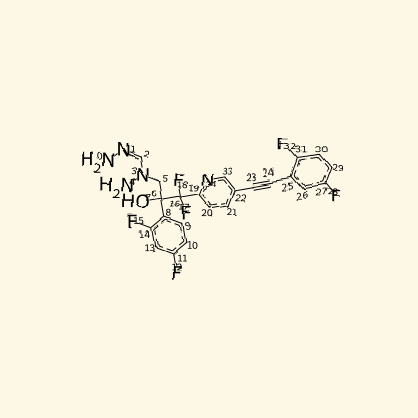 N/N=C\N(N)CC(O)(c1ccc(F)cc1F)C(F)(F)c1ccc(C#Cc2cc(F)ccc2F)cn1